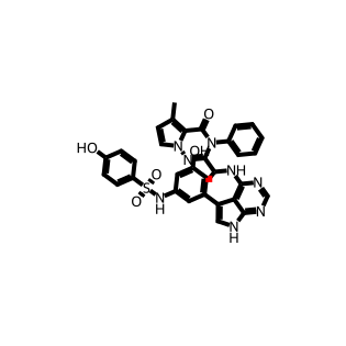 Cc1ccn2nc(C(C)Nc3ncnc4[nH]cc(-c5cc(O)cc(NS(=O)(=O)c6ccc(O)cc6)c5)c34)n(-c3ccccc3)c(=O)c12